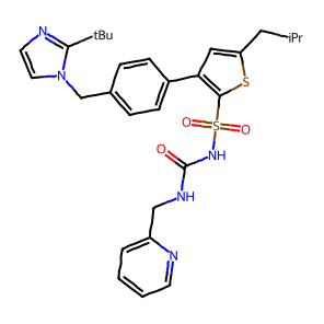 CC(C)Cc1cc(-c2ccc(Cn3ccnc3C(C)(C)C)cc2)c(S(=O)(=O)NC(=O)NCc2ccccn2)s1